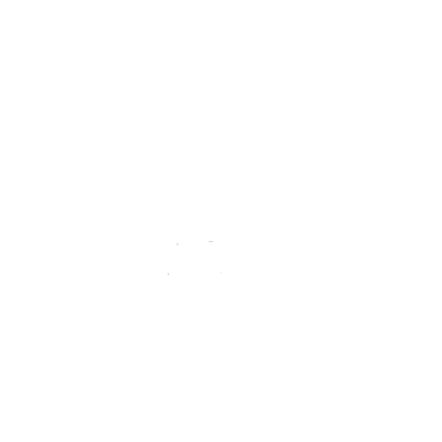 CC#CC#CC(=O)OC1CC(C)C1